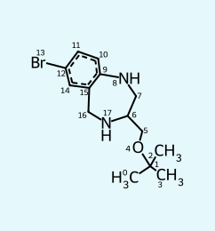 CC(C)(C)OCC1CNc2ccc(Br)cc2CN1